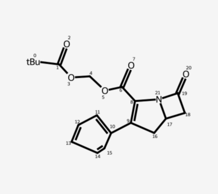 CC(C)(C)C(=O)OCOC(=O)C1=C(c2ccccc2)CC2CC(=O)N12